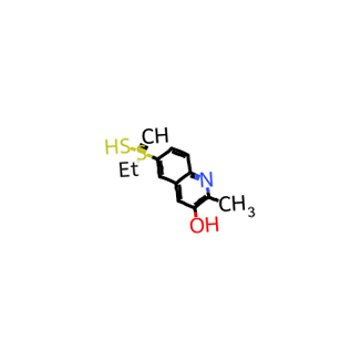 C#S(S)(CC)c1ccc2nc(C)c(O)cc2c1